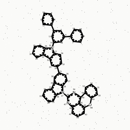 c1ccc(-c2cc(-c3ccccc3)cc(-n3c4ccccc4c4cc(-c5ccc6c(c5)c5ccccc5n6-c5nc6c7c(cccc7n5)Oc5ccccc5-6)ccc43)c2)cc1